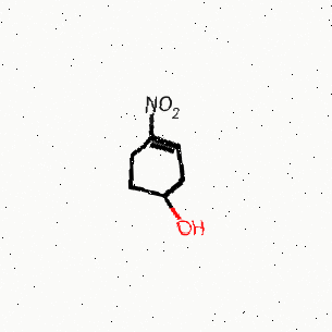 O=[N+]([O-])C1=CCC(O)CC1